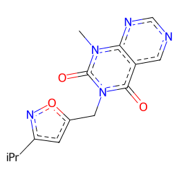 CC(C)c1cc(Cn2c(=O)c3cncnc3n(C)c2=O)on1